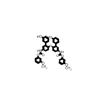 COc1cccc(OC(=O)Nc2ccc(Oc3ccc(NC(=O)Oc4cccc(OC)c4)cc3-c3cccc(O)c3)c(-c3cccc(O)c3)c2)c1